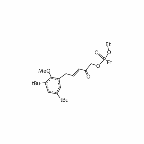 CCOP(=O)(CC)OCC(=O)C=CCc1cc(C(C)(C)C)cc(C(C)(C)C)c1OC